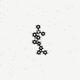 c1ccc(-c2nc(-c3ccccc3)nc(-c3cccc4oc5c(-n6c7ccccc7c7cc(-c8ccc9c(c8)-c8ccccc8C9c8ccccc8)ccc76)cccc5c34)n2)cc1